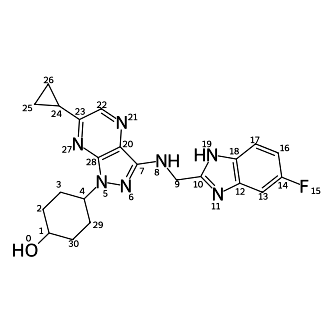 OC1CCC(n2nc(NCc3nc4cc(F)ccc4[nH]3)c3ncc(C4CC4)nc32)CC1